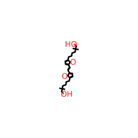 CC(C)(CO)CCCCC1=CC=C(C=CC2=CC=C(CCCCC(C)(C)CO)C2=O)C1=O